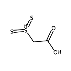 O=C(O)C[SH](=S)=S